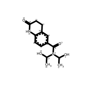 CC(O)N(C(=O)c1ccc2c(c1)CCC(=O)N2)C(C)O